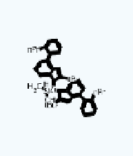 CCCc1ccccc1-c1cccc2c1C=C(C(C)(C)C)[CH]2[Zr]([CH]1C(C(C)(C)C)=Cc2c(-c3ccccc3CCC)cccc21)[SiH](C)C